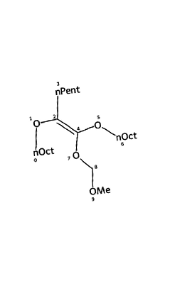 CCCCCCCCOC(CCCCC)=C(OCCCCCCCC)OCOC